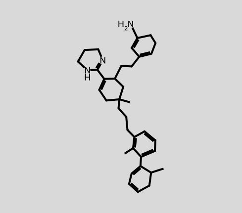 Cc1c(CCCC2(C)CC=C(C3=NCCCN3)C(CCC3=CCCC(N)=C3)C2)cccc1C1=CC=CCC1C